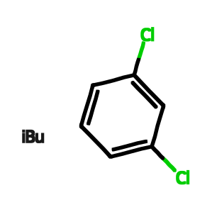 CC[C@H](C)c1cc(Cl)cc(Cl)c1